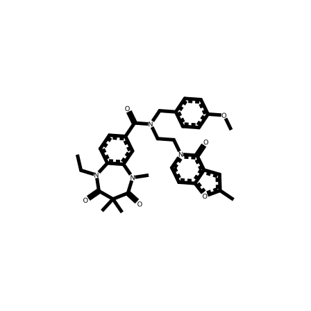 CCN1C(=O)C(C)(C)C(=O)N(C)c2cc(C(=O)N(CCn3ccc4oc(C)cc4c3=O)Cc3ccc(OC)cc3)ccc21